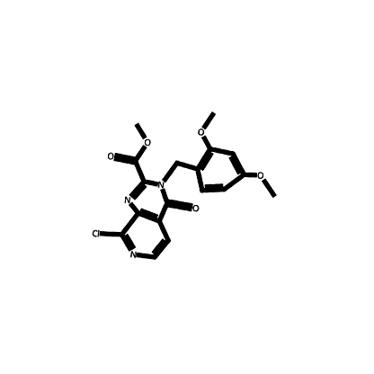 COC(=O)c1nc2c(Cl)nccc2c(=O)n1Cc1ccc(OC)cc1OC